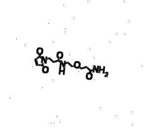 NC(=O)CCOCCNC(=O)CCN1C(=O)C=CC1=O